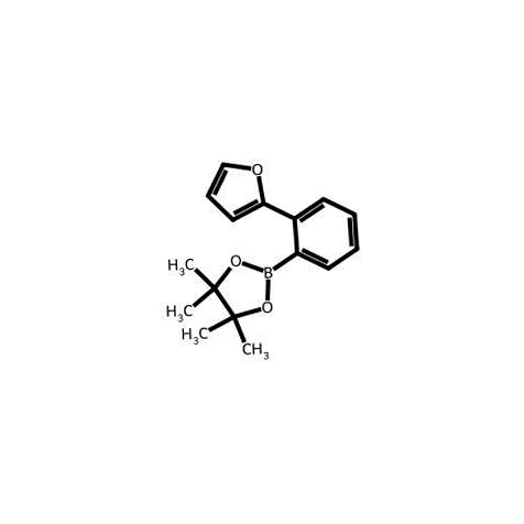 CC1(C)OB(c2ccccc2-c2ccco2)OC1(C)C